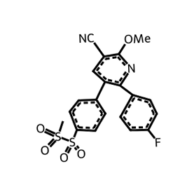 COc1nc(-c2ccc(F)cc2)c(-c2ccc(S(=O)(=O)S(C)(=O)=O)cc2)cc1C#N